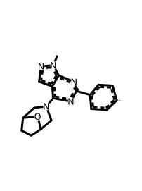 Cn1ncc2c(N3CC4CCC(C3)O4)nc(-c3cc[c]cc3)nc21